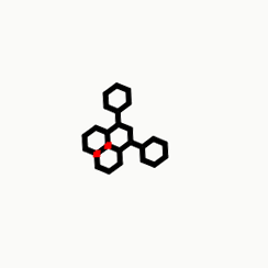 C1CCC(C(CC(C2CCCCC2)C2CCCCC2)C2CCCCC2)CC1